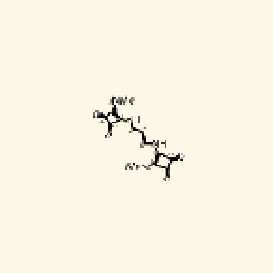 CNc1c(NCCCNc2c(NC)c(=O)c2=O)c(=O)c1=O